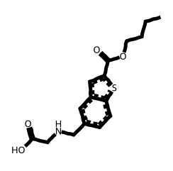 CCCCOC(=O)c1cc2cc(CNCC(=O)O)ccc2s1